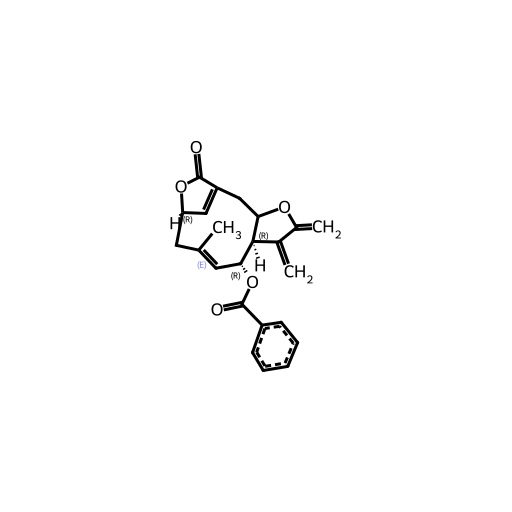 C=C1OC2CC3=C[C@@H](C/C(C)=C/[C@@H](OC(=O)c4ccccc4)[C@@H]2C1=C)OC3=O